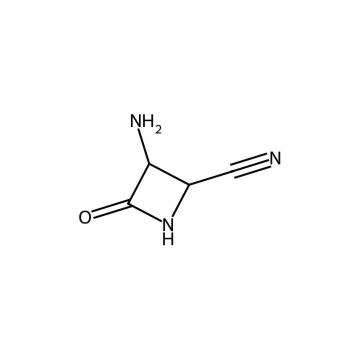 N#CC1NC(=O)C1N